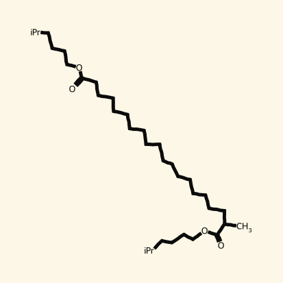 CC(C)CCCCOC(=O)CCCCCCCCCCCCCCCCCC(C)C(=O)OCCCCC(C)C